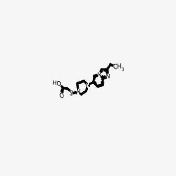 CCc1cn2cc(N3CCN(SCC(=O)O)CC3)ccc2n1